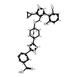 O=C(O)c1cccc(-c2nc(C34CCC(OCc5c(-c6c(Cl)cccc6Cl)noc5C5CC5)(CC3)CC4)no2)c1